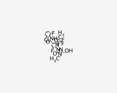 CCn1c(CO)nn(-c2nc(O[C@@H](C)C(F)(F)F)c(C(=O)Nc3c(F)cccc3Cl)cc2F)c1=O